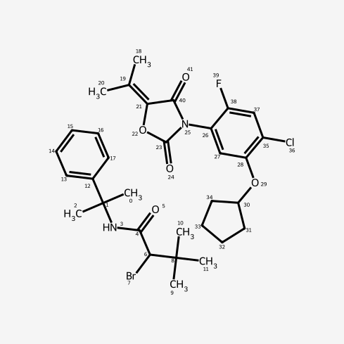 CC(C)(NC(=O)C(Br)C(C)(C)C)c1ccccc1.CC(C)=C1OC(=O)N(c2cc(OC3CCCC3)c(Cl)cc2F)C1=O